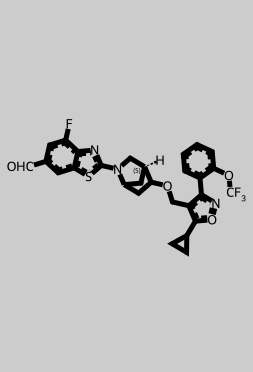 O=Cc1cc(F)c2nc(N3C[C@@H]4CC3CC4OCc3c(-c4ccccc4OC(F)(F)F)noc3C3CC3)sc2c1